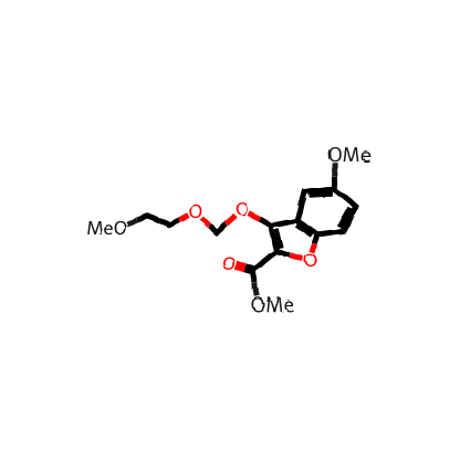 COCCOCOc1c(C(=O)OC)oc2ccc(OC)cc12